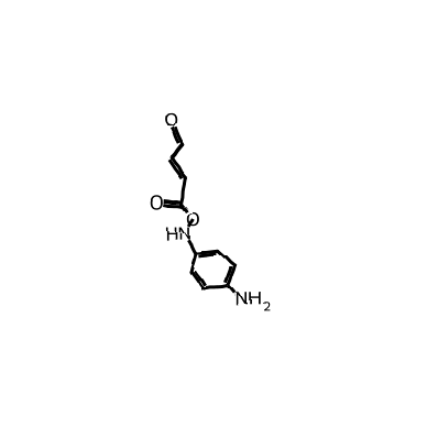 Nc1ccc(NOC(=O)C=CC=O)cc1